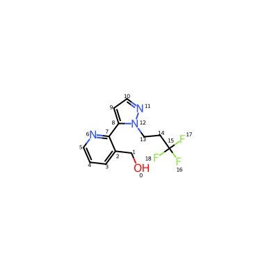 OCc1cccnc1-c1ccnn1CCC(F)(F)F